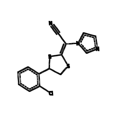 N#C/C(=C1/SCC(c2ccccc2Cl)S1)n1ccnc1